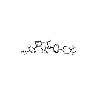 Cc1ccc(-n2ncc(C(=O)Nc3ccc(C4CCC5(CC4)OCCO5)nc3)c2C)cc1